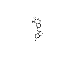 Cc1ccc2c(c1)CCCN2Cc1ccc2c(c1)NC(=O)C(C)O2